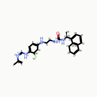 C=C(C)/N=C\NC1=CC=C(NCCNC(=O)N[C@@H](C)c2cccc3c2CCC=C3)CC1F